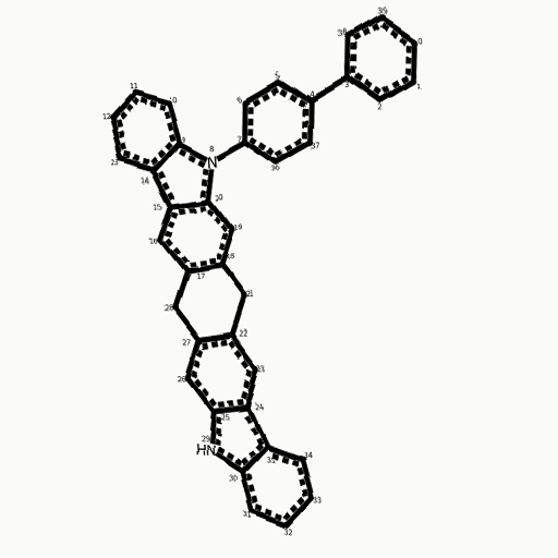 c1ccc(-c2ccc(-n3c4ccccc4c4cc5c(cc43)Cc3cc4c(cc3C5)[nH]c3ccccc34)cc2)cc1